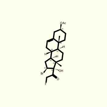 CC(=O)O[C@H]1CC[C@@]2(C)C(=CC[C@@H]3[C@@H]2CC[C@@]2(C)[C@H]3C[C@H](Br)[C@]2(O)C(=O)CF)C1